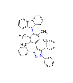 Cc1c(C)c(-n2c3ccccc3c3ccccc32)c(C)c(C)c1-c1c(-c2ccccc2)nn(-c2ccccc2)c1-c1ccccc1